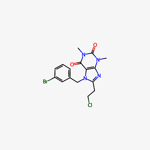 Cn1c(=O)c2c(nc(CCCl)n2Cc2cccc(Br)c2)n(C)c1=O